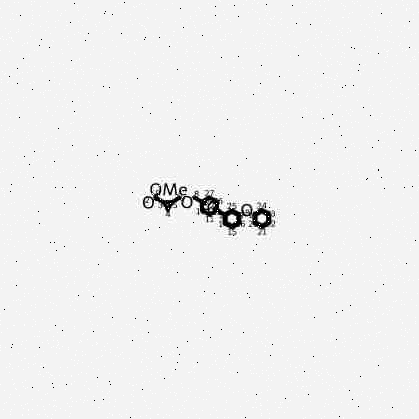 COC(=O)C1CC1COCC12CCC(c3cccc(Oc4ccccc4)c3)(CC1)OC2